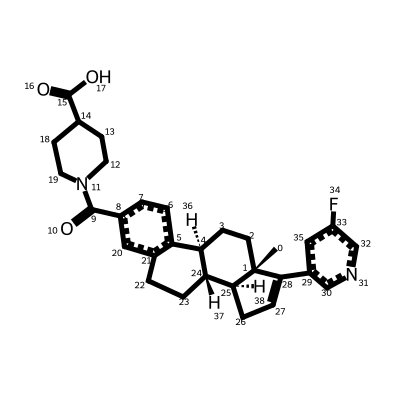 C[C@]12CC[C@@H]3c4ccc(C(=O)N5CCC(C(=O)O)CC5)cc4CC[C@H]3[C@@H]1CC=C2c1cncc(F)c1